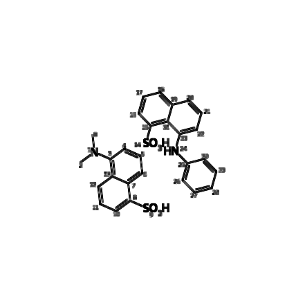 CN(C)c1cccc2c(S(=O)(=O)O)cccc12.O=S(=O)(O)c1cccc2cccc(Nc3ccccc3)c12